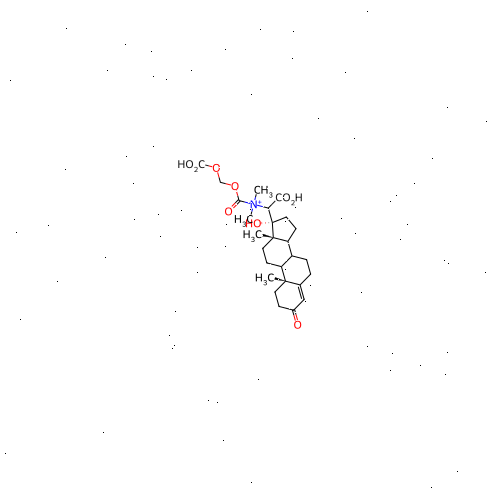 C[C@]12CCC(=O)C=C1CCC1C2CC[C@@]2(C)C1CC[C@]2(O)C(C(=O)O)[N+](C)(C)C(=O)OCOC(=O)O